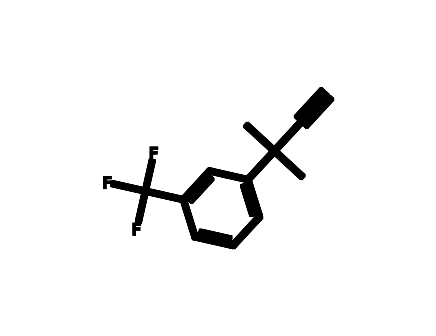 C#CC(C)(C)c1cccc(C(F)(F)F)c1